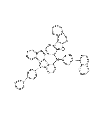 c1ccc(-c2ccc(-n3c4cccc(N(c5ccc(-c6cccc7ccccc67)cc5)c5cccc6c5oc5ccc7ccccc7c56)c4c4ccc5ccccc5c43)cc2)cc1